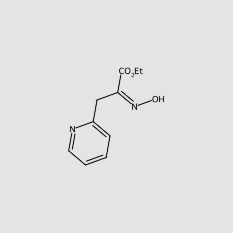 CCOC(=O)C(Cc1ccccn1)=NO